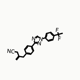 C=C(CC#N)Cc1ccc(-c2ncn(-c3ccc(C(C)(F)F)cc3)n2)cc1